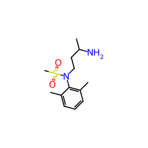 Cc1cccc(C)c1N(CCC(C)N)S(C)(=O)=O